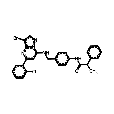 CC(C(=O)Nc1ccc(CNc2cc(-c3ccccc3Cl)nc3c(Br)cnn23)cc1)c1ccccc1